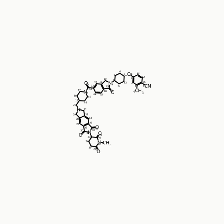 Cc1cc(O[C@H]2CC[C@H](N3Cc4cc(C(=O)N5CCC(CN6Cc7cc8c(cc7C6)C(=O)N(C6CCC(=O)N(C)C6=O)C8=O)CC5)ccc4C3=O)CC2)ccc1C#N